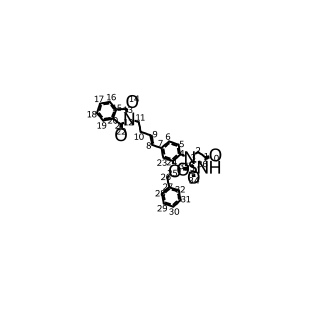 O=C1CN(c2ccc(C=CCCN3C(=O)c4ccccc4C3=O)cc2OCc2ccccc2)S(=O)(=O)N1